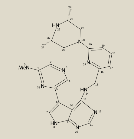 CNc1cncc(-c2c[nH]c3ncnc(NCc4cccc(N5C[C@@H](C)N[C@@H](C)C5)n4)c23)n1